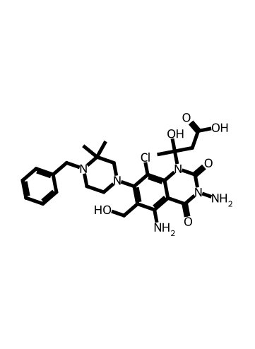 CC1(C)CN(c2c(CO)c(N)c3c(=O)n(N)c(=O)n(C(C)(O)CC(=O)O)c3c2Cl)CCN1Cc1ccccc1